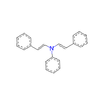 C(=CN(C=Cc1ccccc1)c1ccccc1)c1ccccc1